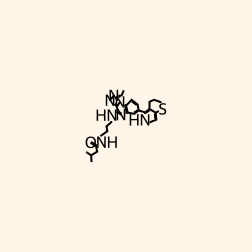 Cc1nnc2c(NCCCCNC(=O)CC(C)C)nc3cc(C4=C5CCCSC5=CCN4)ccc3n12